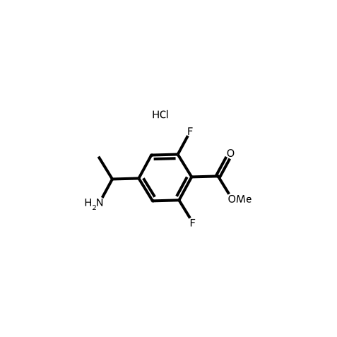 COC(=O)c1c(F)cc(C(C)N)cc1F.Cl